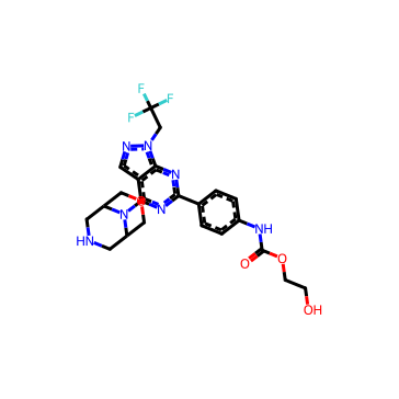 O=C(Nc1ccc(-c2nc(N3C4CNCC3COC4)c3cnn(CC(F)(F)F)c3n2)cc1)OCCO